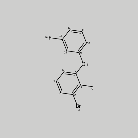 Cc1c(Br)cccc1Oc1cccc(F)c1